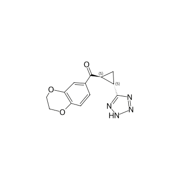 O=C(c1ccc2c(c1)OCCO2)[C@H]1C[C@@H]1c1nn[nH]n1